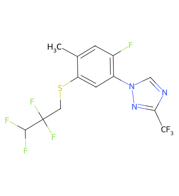 Cc1cc(F)c(-n2cnc(C(F)(F)F)n2)cc1SCC(F)(F)C(F)F